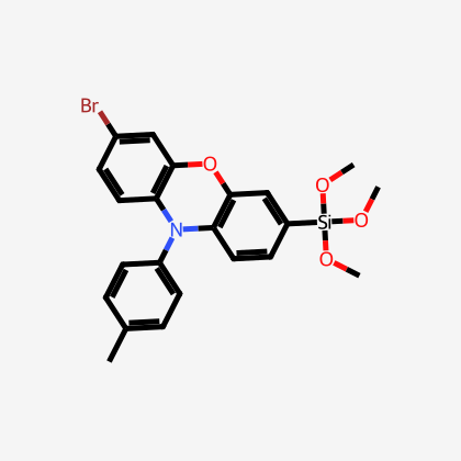 CO[Si](OC)(OC)c1ccc2c(c1)Oc1cc(Br)ccc1N2c1ccc(C)cc1